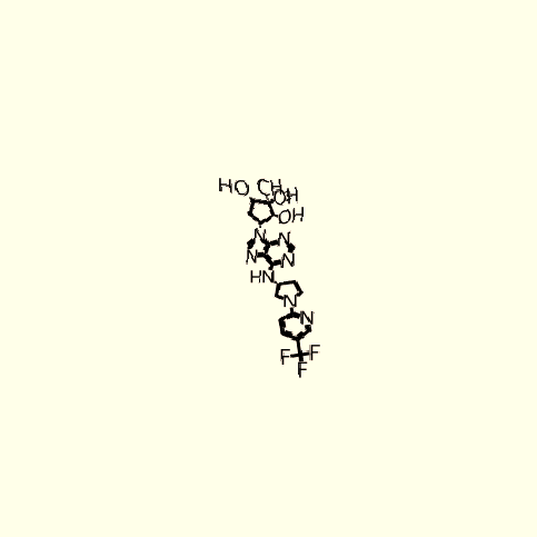 C[C@@]1(O)[C@H](O)C[C@@H](n2cnc3c(N[C@H]4CCN(c5ccc(C(F)(F)F)cn5)C4)ncnc32)[C@@H]1O